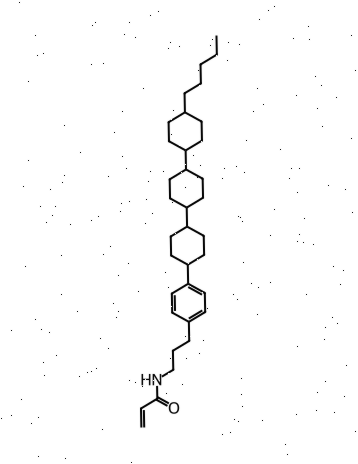 C=CC(=O)NCCCc1ccc(C2CCC(C3CCC(C4CCC(CCCCC)CC4)CC3)CC2)cc1